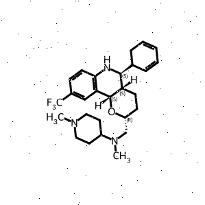 CN1CCC(N(C)C[C@H]2CC[C@@H]3[C@H](O2)c2cc(C(F)(F)F)ccc2N[C@H]3C2C=CC=CC2)CC1